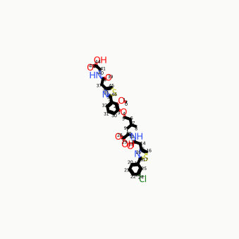 COc1c(OCCC(C)C[C@H](NC(=O)Cc2csc(-c3cccc(Cl)c3)n2)C(=O)O)cccc1-c1nc(CC(=O)NCC(=O)O)cs1